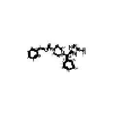 O=C(OCc1ccccc1)N1CCN(C(c2ccccc2)c2nnn(CF)n2)CC1